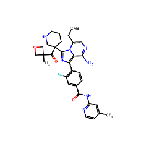 COCc1cnc(N)c2c(-c3ccc(C(=O)Nc4cc(C(F)(F)F)ccn4)cc3F)nc([C@@]3(C(=O)C4(C)COC4)CCCNC3)n12